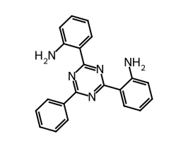 Nc1ccccc1-c1nc(-c2ccccc2)nc(-c2ccccc2N)n1